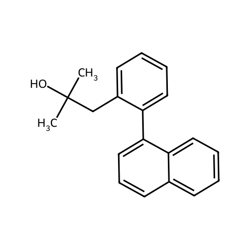 CC(C)(O)Cc1ccccc1-c1cccc2ccccc12